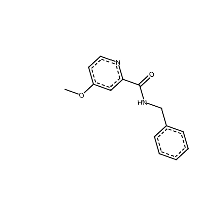 COc1ccnc(C(=O)NCc2ccccc2)c1